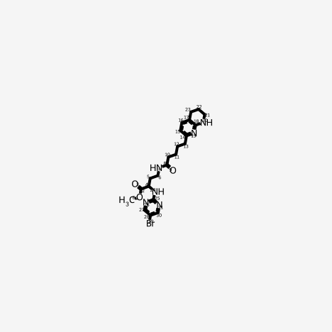 COC(=O)C(CCNC(=O)CCCCc1ccc2c(n1)NCCC2)Nc1ncc(Br)cn1